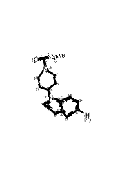 COC(=O)N1CCC(n2ccc3cc(N)ccc32)CC1